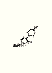 CC(C)N1CCC(c2ccc(NC(C)(C)C)cc2F)CC1